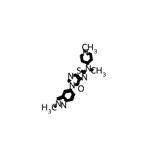 CN1CCC(N(C)c2nc3c(=O)n(-c4ccc5nn(C)cc5c4)cnc3s2)CC1